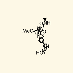 COCCS(=O)(=O)C(C(=O)NCC(=O)NC1CC1)c1nc2ccc(-c3cnn(CC(C)(C)O)c3)cc2s1